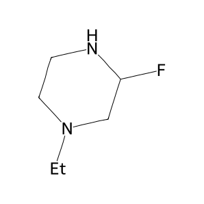 CCN1CCNC(F)C1